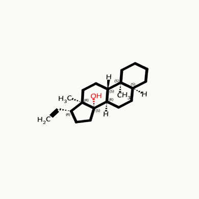 C=C[C@H]1CC[C@]2(O)[C@@H]3CC[C@@H]4CCCC[C@]4(C)[C@H]3CC[C@]12C